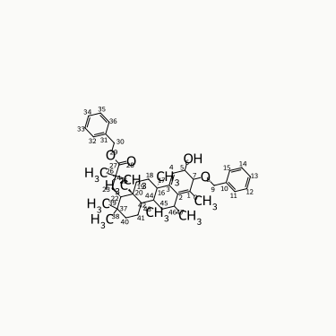 CC1=C2C(=CC(O)C1OCc1ccccc1)[C@]1(C)CC[C@@]3(C)[C@H](CC(C)(C)C(=O)OCc4ccccc4)C(C)(C)CC[C@]3(C)C1CC2C